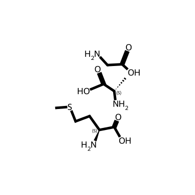 CSCC[C@H](N)C(=O)O.C[C@H](N)C(=O)O.NCC(=O)O